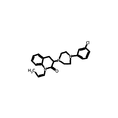 C/C=C\N1C(=O)C(N2CCN(c3cccc(Cl)c3)CC2)Cc2ccccc21